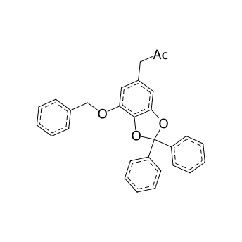 CC(=O)Cc1cc(OCc2ccccc2)c2c(c1)OC(c1ccccc1)(c1ccccc1)O2